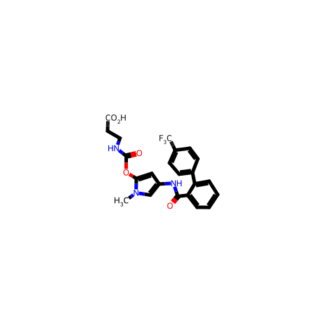 Cn1cc(NC(=O)c2ccccc2-c2ccc(C(F)(F)F)cc2)cc1OC(=O)NCCC(=O)O